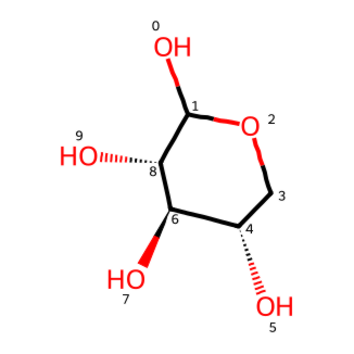 OC1OC[C@H](O)[C@@H](O)[C@@H]1O